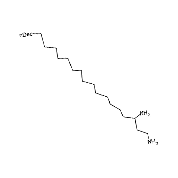 CCCCCCCCCCCCCCCCCCCCCCCCC(N)CCN